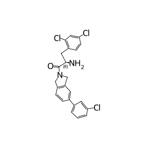 N[C@H](Cc1ccc(Cl)cc1Cl)C(=O)N1Cc2ccc(-c3cccc(Cl)c3)cc2C1